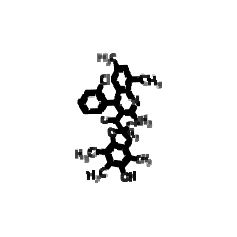 Cc1cc(C)c2nc(N)c(C(=O)C3(C)Cc4c(C)c(O)c(C)c(C)c4O3)c(-c3ccccc3Cl)c2c1